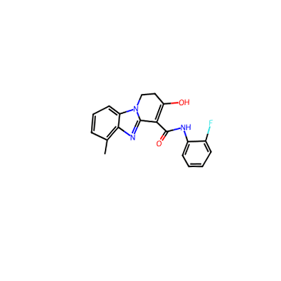 Cc1cccc2c1nc1n2CCC(O)=C1C(=O)Nc1ccccc1F